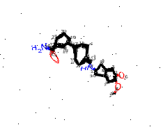 COc1cc2c(cc1OC)CC(NCc1ccc(-c3cccc(C(N)=O)c3)cc1)C2